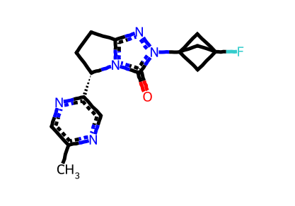 Cc1cnc([C@@H]2CCc3nn(C45CC(F)(C4)C5)c(=O)n32)cn1